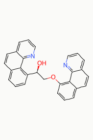 O[C@@H](COc1cccc2ccc3cccnc3c12)c1cccc2ccc3cccnc3c12